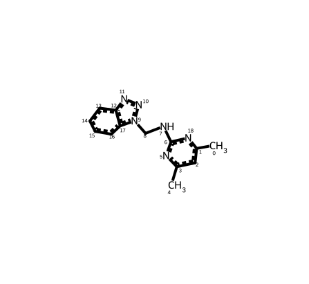 Cc1cc(C)nc(NCn2nnc3ccccc32)n1